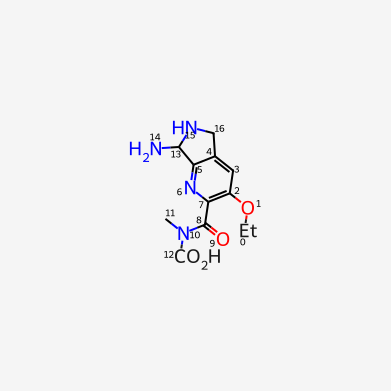 CCOc1cc2c(nc1C(=O)N(C)C(=O)O)C(N)NC2